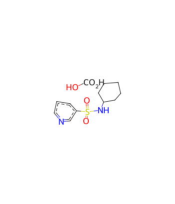 O=C(O)O.O=S(=O)(NC1CCCCC1)c1cccnc1